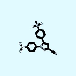 CS(=O)(=O)c1ccc(-c2cc(C#N)nn2-c2ccc([N+](=O)[O-])cc2)cc1